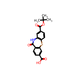 CC(C)(C)OC(=O)c1ccc2c(c1)NC(=O)c1ccc(C(=O)O)cc1S2